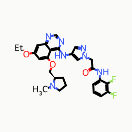 CCOc1cc(OC[C@H]2CCCN2C)c2c(Nc3cnn(CC(=O)Nc4cccc(F)c4F)c3)ncnc2c1